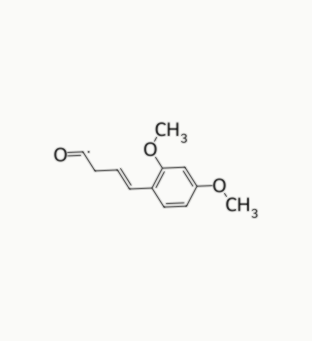 COc1ccc(C=CC[C]=O)c(OC)c1